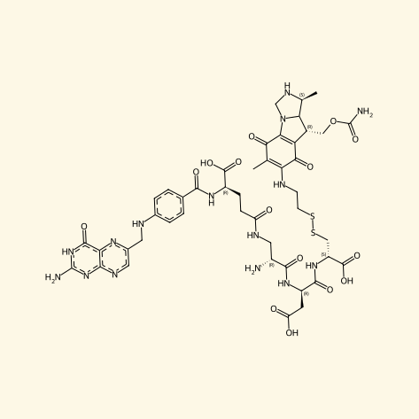 CC1=C(NCCSSC[C@@H](NC(=O)[C@@H](CC(=O)O)NC(=O)[C@H](N)CNC(=O)CC[C@@H](NC(=O)c2ccc(NCc3cnc4nc(N)[nH]c(=O)c4n3)cc2)C(=O)O)C(=O)O)C(=O)C2=C(C1=O)N1CN[C@@H](C)C1[C@@H]2COC(N)=O